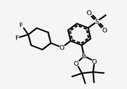 CC1(C)OB(c2cc(S(C)(=O)=O)ccc2OC2CCC(F)(F)CC2)OC1(C)C